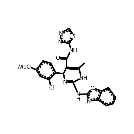 COc1ccc(C2N=C(Nc3nc4ccccc4o3)NC(C)=C2C(=O)Nc2nncs2)c(Cl)c1